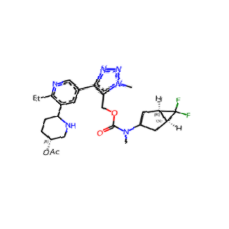 CCc1ncc(-c2nnn(C)c2COC(=O)N(C)C2C[C@@H]3[C@H](C2)C3(F)F)cc1C1CC[C@@H](OC(C)=O)CN1